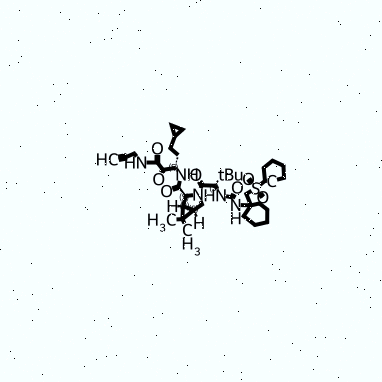 C#CCNC(=O)C(=O)[C@H](CCC1CC1)NC(=O)[C@@H]1[C@@H]2[C@H](CN1C(=O)[C@@H](NC(=O)NC1(CS(=O)(=O)C3CCCCC3)CCCCC1)C(C)(C)C)C2(C)C